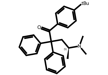 C[C@@H](CC(C(=O)c1ccc(C(C)(C)C)cc1)(c1ccccc1)c1ccccc1)N(C)C